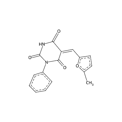 Cc1ccc(C=C2C(=O)NC(=O)N(c3ccccc3)C2=O)o1